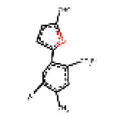 CCOC(=O)c1cc(C)c(C)cc1-c1ccc(C=O)o1